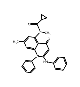 Cc1cc(N(C)C(=O)C2CC2)c2c(=O)cc(Nc3ccccc3)n(-c3ccccc3)c2n1